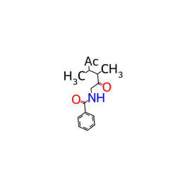 CC(=O)C(C)C(C)C(=O)CNC(=O)c1ccccc1